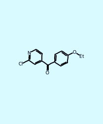 CCOc1ccc(C(=O)c2ccnc(Cl)c2)cc1